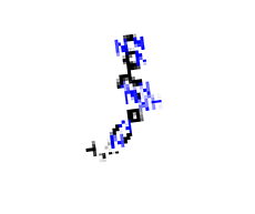 CN1CCN([C@H]2C[C@H](Nc3ncc4c(-c5cnc6nccnc6c5)ccn4n3)C2)CC1